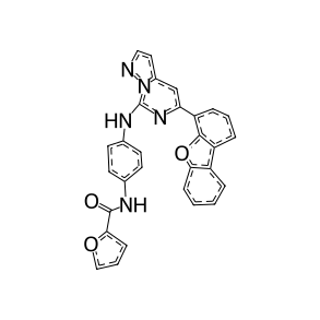 O=C(Nc1ccc(Nc2nc(-c3cccc4c3oc3ccccc34)cc3ccnn23)cc1)c1ccco1